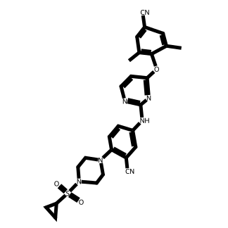 Cc1cc(C#N)cc(C)c1Oc1ccnc(Nc2ccc(N3CCN(S(=O)(=O)C4CC4)CC3)c(C#N)c2)n1